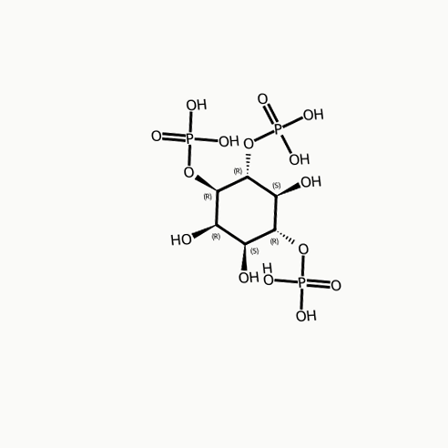 O=P(O)(O)O[C@@H]1[C@@H](O)[C@@H](O)[C@@H](OP(=O)(O)O)[C@H](OP(=O)(O)O)[C@H]1O